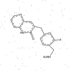 CC(=O)NCc1ccc(Cc2cc3ccccc3[nH]c2=O)cc1F